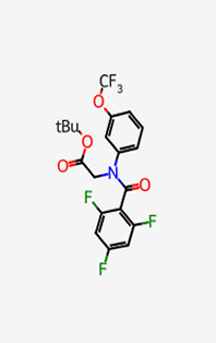 CC(C)(C)OC(=O)CN(C(=O)c1c(F)cc(F)cc1F)c1cccc(OC(F)(F)F)c1